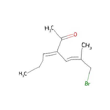 CC/C=C(\C=C(/C)CBr)C(C)=O